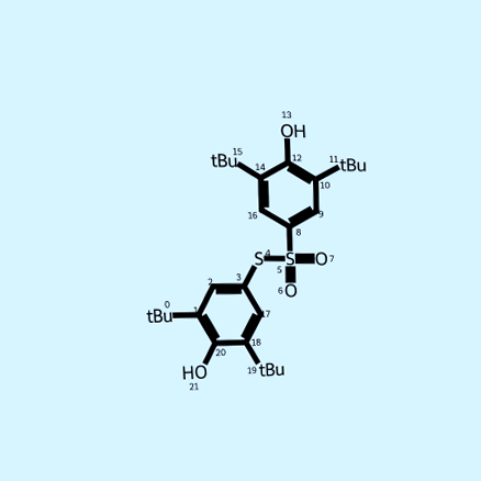 CC(C)(C)c1cc(SS(=O)(=O)c2cc(C(C)(C)C)c(O)c(C(C)(C)C)c2)cc(C(C)(C)C)c1O